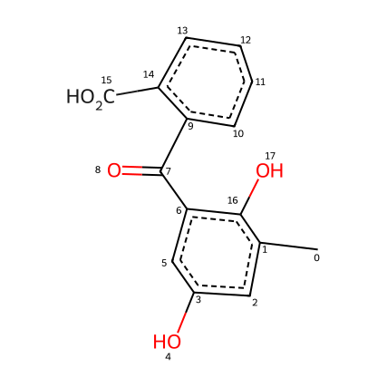 Cc1cc(O)cc(C(=O)c2ccccc2C(=O)O)c1O